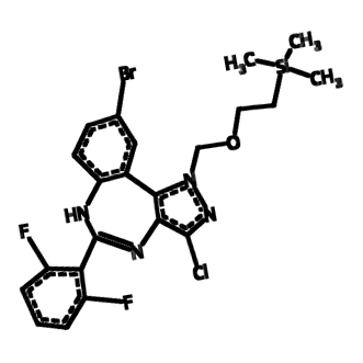 C[Si](C)(C)CCOCn1nc(Cl)c2c1-c1cc(Br)ccc1NC(c1c(F)cccc1F)=N2